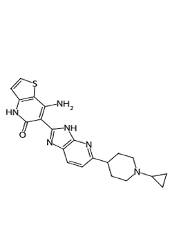 Nc1c(-c2nc3ccc(C4CCN(C5CC5)CC4)nc3[nH]2)c(=O)[nH]c2ccsc12